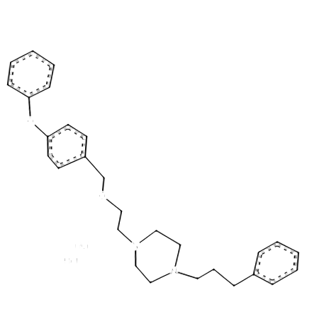 Cl.Cl.c1ccc(CCCN2CCN(CCOCc3ccc(Oc4ccccc4)cc3)CC2)cc1